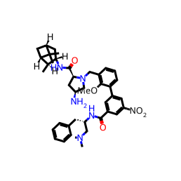 COc1c(CN2C[C@@H](N)C[C@H]2C(=O)N[C@H]2C[C@H]3C[C@@H]([C@@H]2C)C3(C)C)cccc1-c1cc(C(=O)N[C@@H](Cc2ccccc2)CN(C)C)cc([N+](=O)[O-])c1